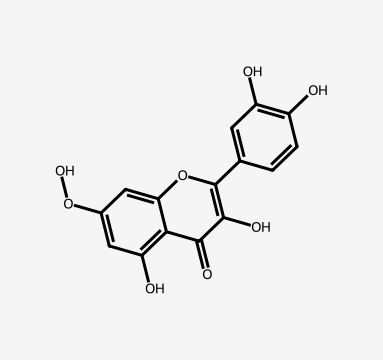 O=c1c(O)c(-c2ccc(O)c(O)c2)oc2cc(OO)cc(O)c12